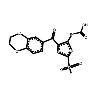 CS(=O)(=O)c1nc(NC(=O)O)c(C(=O)c2ccc3c(c2)OCCO3)s1